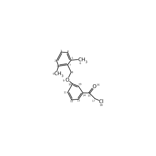 Cc1cccc(C)c1COc1cccc(C(=O)CCl)c1